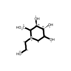 O=C(O)C1[C@@H](O)[C@H](O)C(O)CN1CCO